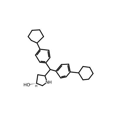 O[C@H]1CNC(C(c2ccc(C3CCCCC3)cc2)c2ccc(C3CCCCC3)cc2)C1